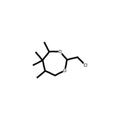 CC1COC(CCl)OC(C)C1(C)C